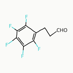 O=CCCc1c(F)c(F)c(F)c(F)c1F